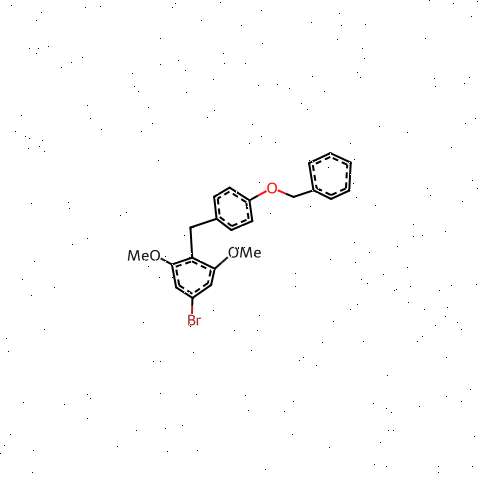 COc1cc(Br)cc(OC)c1Cc1ccc(OCc2ccccc2)cc1